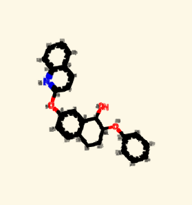 OC1c2cc(Oc3ccc4ccccc4n3)ccc2CCC1Oc1ccccc1